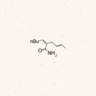 CC=CCC(=CCCCC)C(N)=O